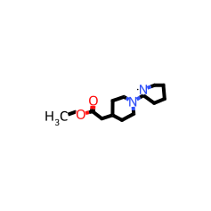 CCOC(=O)CC1CCN(C2CCCC[N]2)CC1